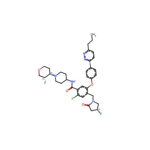 CCCc1ccc(-c2ccc(Oc3cc(C(=O)NC4CCN([C@@H]5CCOC[C@H]5F)CC4)c(F)cc3CN3C[C@@H](F)CC3=O)cc2)nn1